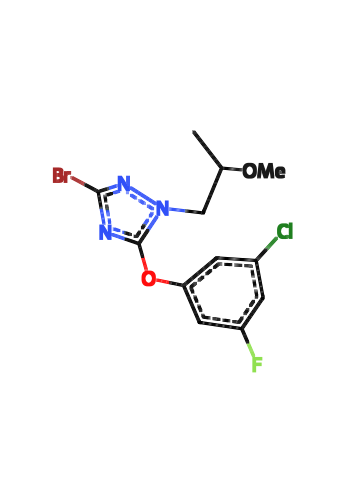 COC(C)Cn1nc(Br)nc1Oc1cc(F)cc(Cl)c1